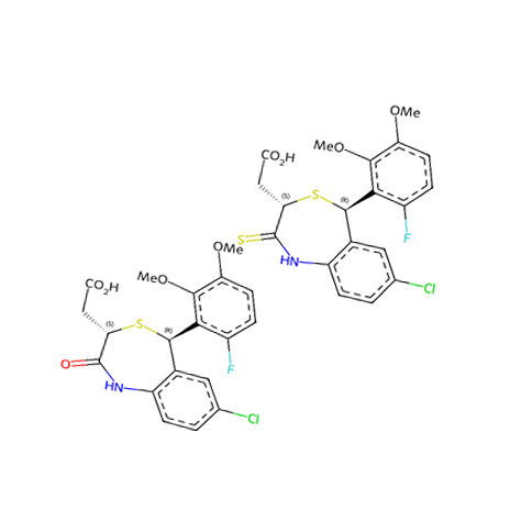 COc1ccc(F)c([C@@H]2S[C@@H](CC(=O)O)C(=O)Nc3ccc(Cl)cc32)c1OC.COc1ccc(F)c([C@@H]2S[C@@H](CC(=O)O)C(=S)Nc3ccc(Cl)cc32)c1OC